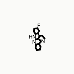 Fc1ccc2c(c1)-c1ccnc3c1c(nc1ccccc13)N2